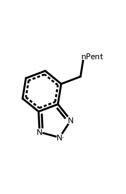 CCCCCCc1cccc2c1=N[N]N=2